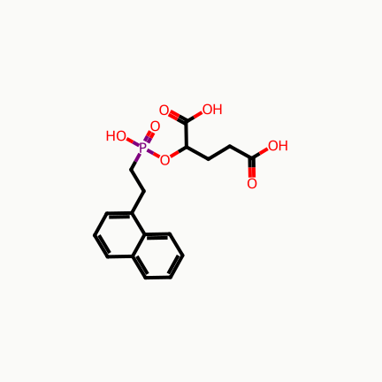 O=C(O)CCC(OP(=O)(O)CCc1cccc2ccccc12)C(=O)O